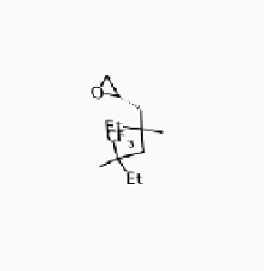 CCC(C)(C[C@H]1CO1)CC(C)(CC)C(F)(F)F